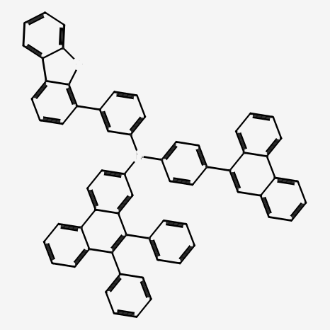 c1ccc(-c2c(-c3ccccc3)c3cc(N(c4ccc(-c5cc6ccccc6c6ccccc56)cc4)c4cccc(-c5cccc6c5oc5ccccc56)c4)ccc3c3ccccc23)cc1